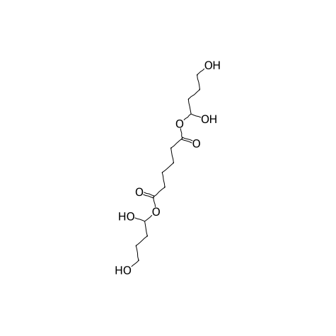 O=C(CCCCC(=O)OC(O)CCCO)OC(O)CCCO